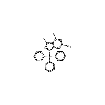 Cc1cc2c(c(Cl)n1)c(I)nn2C(c1ccccc1)(c1ccccc1)c1ccccc1